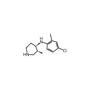 Cc1cc(Cl)ccc1N[C@@H]1CCNC[C@@H]1C